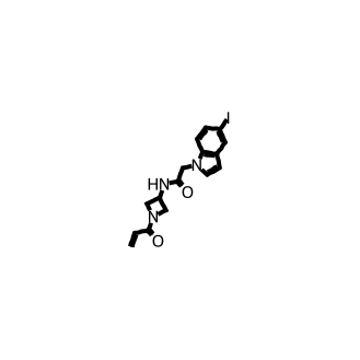 C=CC(=O)N1CC(NC(=O)Cn2ccc3cc(I)ccc32)C1